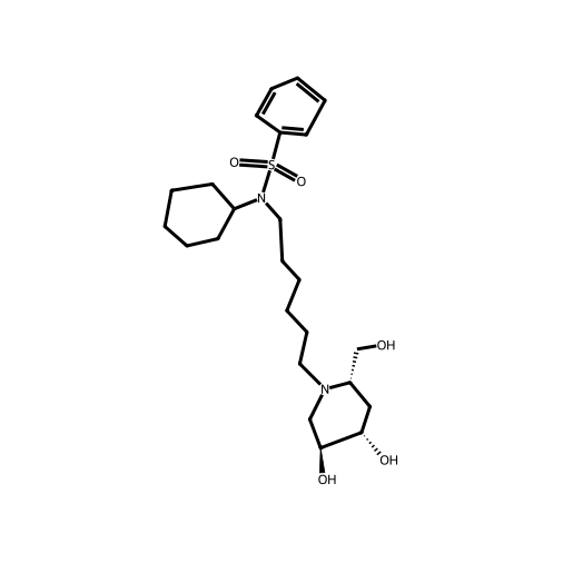 O=S(=O)(c1ccccc1)N(CCCCCCN1C[C@H](O)[C@@H](O)C[C@H]1CO)C1CCCCC1